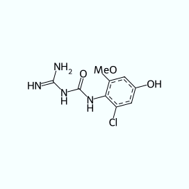 COc1cc(O)cc(Cl)c1NC(=O)NC(=N)N